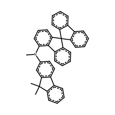 CN(c1ccc2c(c1)C(C)(C)c1ccccc1-2)c1cccc2c1-c1ccccc1C21c2ccccc2-c2ccccc21